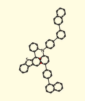 c1cc(-c2ccc(N(c3ccc(-c4ccc(-c5cccc6ccccc56)cc4)cc3)c3ccccc3-c3cccc4c3sc3ccccc34)cc2)cc(-c2ccc3ccccc3c2)c1